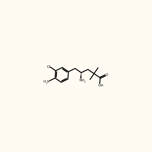 CC(C)(C[C@@H](N)Cc1ccc(N)c(Cl)c1)C(=O)O